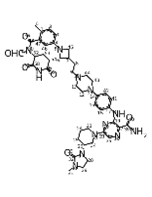 Cc1ccc(N2CC(CCN3CCN(c4ccc(Nc5nc(N6CCC[C@@H](N7CCN(C)C7=O)C6)cnc5C(N)=O)cc4)CC3)C2)cc1C(=O)N(C=O)C1CCC(=O)NC1=O